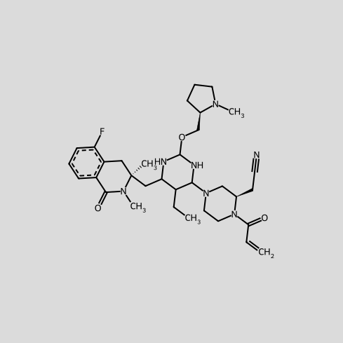 C=CC(=O)N1CCN(C2NC(OC[C@H]3CCCN3C)NC(C[C@]3(C)Cc4c(F)cccc4C(=O)N3C)C2CC)C[C@H]1CC#N